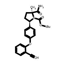 C#Cc1ccccc1Oc1ccc([C@H]2CC[C@@](C)(C(N)=O)N2C(=O)OC(C)(C)C)cc1